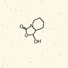 O=C1OC(O)C2CCCCN12